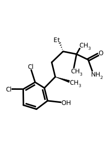 CC[C@@H](C[C@@H](C)c1c(O)ccc(Cl)c1Cl)C(C)(C)C(N)=O